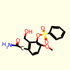 COc1ccc(CC(N)=O)c(CO)c1OS(=O)(=O)c1ccccc1